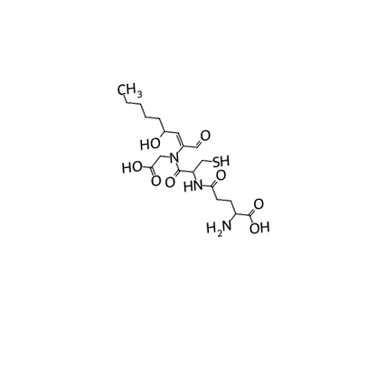 CCCCCC(O)C=C(C=O)N(CC(=O)O)C(=O)C(CS)NC(=O)CCC(N)C(=O)O